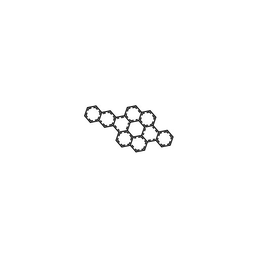 c1ccc2cc3c(cc2c1)c1ccc2ccc4c5ccccc5c5ccc6ccc3c3c6c5c4c2c13